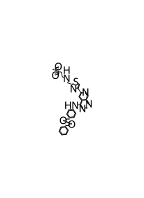 CS(=O)(=O)CCNCc1nc(-c2cc3c(Nc4ccc(S(=O)(=O)c5ccccc5)cc4)ncnc3cn2)cs1